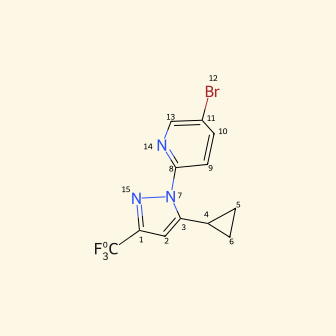 FC(F)(F)c1cc(C2CC2)n(-c2ccc(Br)cn2)n1